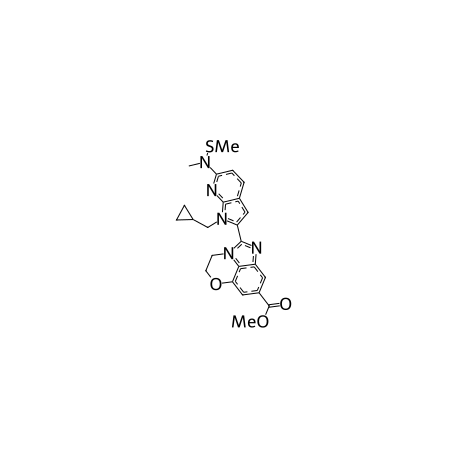 COC(=O)c1cc2c3c(c1)nc(-c1cc4ccc(N(C)SC)nc4n1CC1CC1)n3CCO2